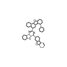 C1=Cc2c(oc3cc(C4=NC(c5cc6c(oc7cccc(-c8ccccc8)c76)c6ccccc56)=NC5c6ccccc6SC45)ccc23)CC1